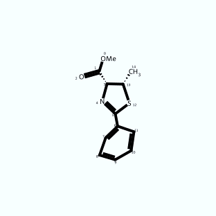 COC(=O)[C@H]1N=C(c2ccccc2)S[C@H]1C